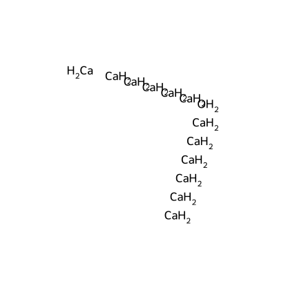 O.[CaH2].[CaH2].[CaH2].[CaH2].[CaH2].[CaH2].[CaH2].[CaH2].[CaH2].[CaH2].[CaH2].[CaH2]